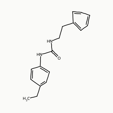 CCc1ccc(NC(=O)NCCc2ccccc2)cc1